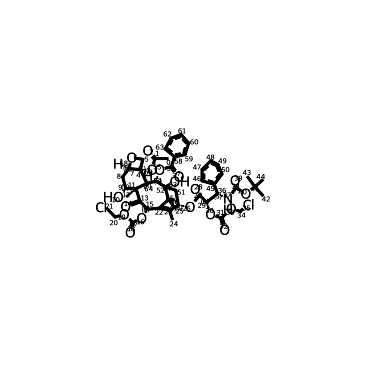 CC(=O)O[C@@]12CO[C@@H]1C[C@H](O)[C@@]1(C)C(=O)[C@H](OC(=O)OCCl)C3=C(C)[C@@H](OC(=O)[C@H](OC(=O)OCCl)[C@@H](NC(=O)OC(C)(C)C)c4ccccc4)C[C@@](O)([C@@H](OC(=O)c4ccccc4)[C@H]21)C3(C)C